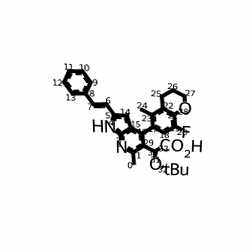 Cc1nc2[nH]c(/C=C/c3ccccc3)cc2c(-c2cc(F)c3c(c2C)CCCO3)c1C(OC(C)(C)C)C(=O)O